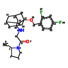 N#CC1CCCN1C(=O)CNC12CC3CC(C1)CC(OCc1ccc(F)cc1F)(C3)C2